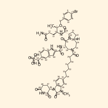 C[C@@H](OCc1ccc(Br)cc1)[C@H](CCC(N)=O)NC(=O)[C@@H]1CC[C@@H]2CCN(C(=O)CCCCCCc3ccc4c(c3)n(C)c(=O)n4C3CCC(=O)NC3=O)C[C@H](NC(=O)c3cc4cc(C(=O)P(=O)(O)O)ccc4[nH]3)C(=O)N21